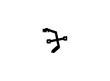 [CH]=CC(Cl)(Cl)CCCC